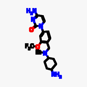 CCN(Cc1ccc(-n2ccc(N)nc2=O)cc1OC(F)(F)F)[C@H]1CC[C@H](N)CC1